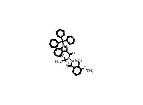 CCc1c(OC)cccc1C(=O)NN(C(=O)c1nn(C(c2ccccc2)(c2ccccc2)c2ccccc2)c2ccccc12)C(C)(C)C